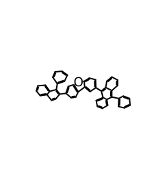 c1ccc(-c2c(-c3ccc4c(c3)oc3ccc(-c5c6ccccc6c(-c6ccccc6)c6ccccc56)cc34)ccc3ccccc23)cc1